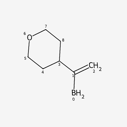 BC(=C)C1CCOCC1